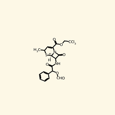 CC1C=C(C(=O)OCC(Cl)(Cl)Cl)N2C(=O)C(NC(=O)C(OC=O)c3ccccc3)[C@H]2S1